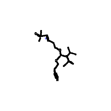 CC(C)N(C(C)C)P(OCCC#N)OCC/C=C/P(C)(C)=O